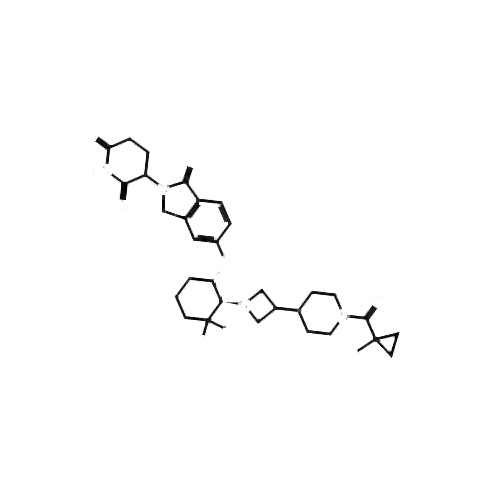 CC1(C(=O)N2CCC(C3CN([C@@H]4[C@@H](Oc5ccc6c(c5)CN(C5CCC(=O)NC5=O)C6=O)CCCC4(F)F)C3)CC2)CC1